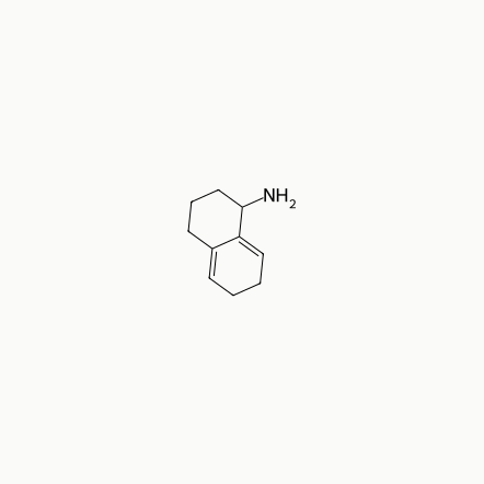 NC1CCCC2=CCCC=C21